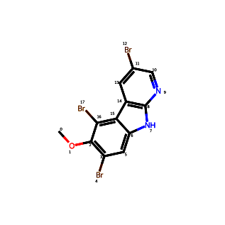 COc1c(Br)cc2[nH]c3ncc(Br)cc3c2c1Br